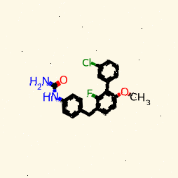 COc1ccc(Cc2ccc(NC(N)=O)cc2)c(F)c1-c1cccc(Cl)c1